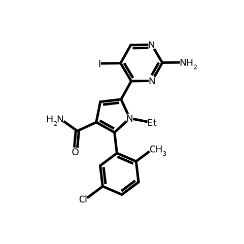 CCn1c(-c2nc(N)ncc2I)cc(C(N)=O)c1-c1cc(Cl)ccc1C